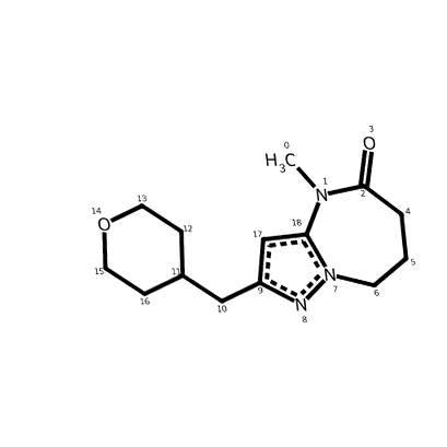 CN1C(=O)CCCn2nc(CC3CCOCC3)cc21